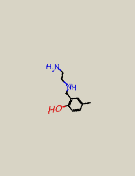 Cc1ccc(O)c(CNCCN)c1